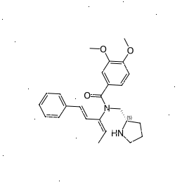 CC=C(C=Cc1ccccc1)N(C[C@@H]1CCCN1)C(=O)c1ccc(OC)c(OC)c1